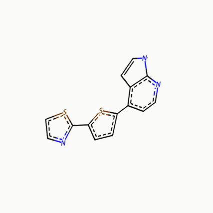 C1=Cc2c(-c3ccc(-c4nccs4)s3)ccnc2[N]1